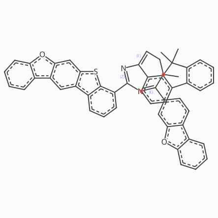 CC1C/C=C(c2cccc3c2C(C)(C)c2ccccc2-3)/N=C(c2cccc3c2sc2cc4oc5ccccc5c4cc23)\N=C/1c1ccc2c(c1)oc1ccccc12